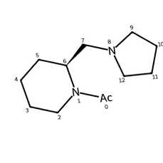 CC(=O)N1CCCC[C@H]1CN1CCCC1